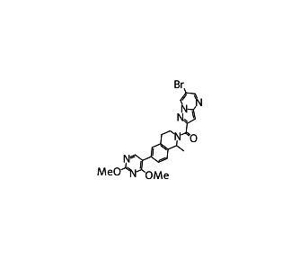 COc1ncc(-c2ccc3c(c2)CCN(C(=O)c2cc4ncc(Br)cn4n2)C3C)c(OC)n1